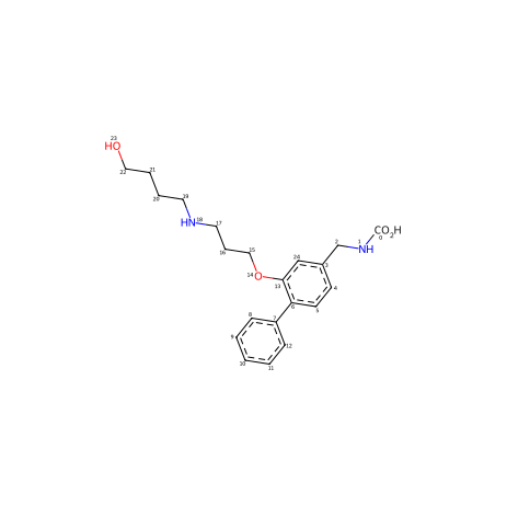 O=C(O)NCc1ccc(-c2ccccc2)c(OCCCNCCCCO)c1